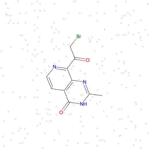 Cc1nc2c(C(=O)CBr)nccc2c(=O)[nH]1